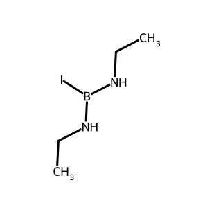 CCNB(I)NCC